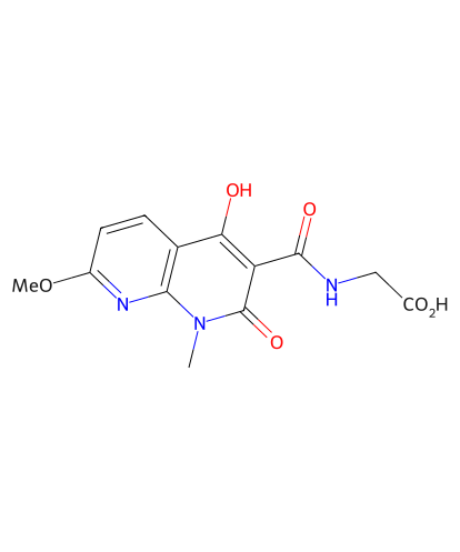 COc1ccc2c(O)c(C(=O)NCC(=O)O)c(=O)n(C)c2n1